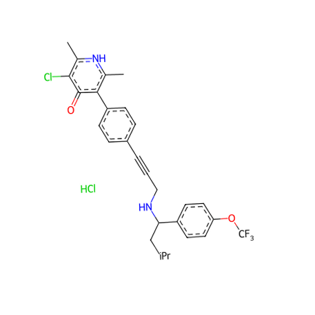 Cc1[nH]c(C)c(-c2ccc(C#CCNC(CC(C)C)c3ccc(OC(F)(F)F)cc3)cc2)c(=O)c1Cl.Cl